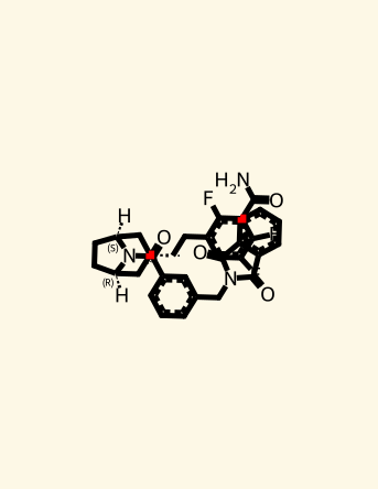 NC(=O)c1c(F)c(F)cc(C[CH][C@@H]2C[C@H]3CC[C@@H](C2)N3C(=O)c2cccc(CN3C(=O)c4ccccc4C3=O)c2)c1F